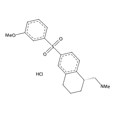 CNC[C@@H]1CCCc2cc(S(=O)(=O)c3cccc(OC)c3)ccc21.Cl